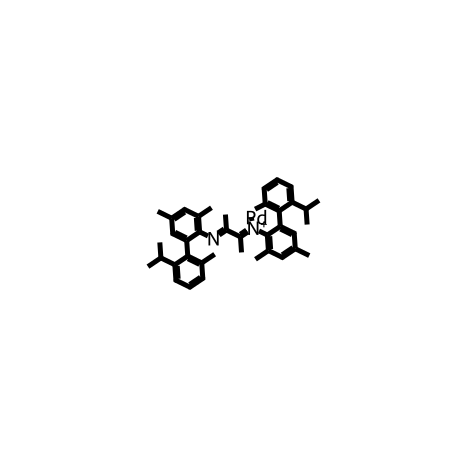 CC(=Nc1c(C)cc(C)cc1-c1c(C)cccc1C(C)C)C(C)=[N+]([Pd])c1c(C)cc(C)cc1-c1c(C)cccc1C(C)C